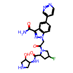 NC(=O)c1nn(CC(=O)N2CC(F)CC2C(=O)NC2CNCC2O)c2ccc(-c3ccnnc3)cc12